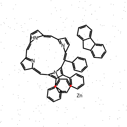 C1=Cc2cc3c(-c4ccccc4)c(-c4ccccc4)c(c(-c4ccccc4)c4nc(cc5ccc(cc1n2)[nH]5)C=C4)n3-c1ccccc1.[Zn].c1ccc2c(c1)Cc1ccccc1-2